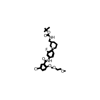 COCCOCOc1ccc(Cl)cc1C(=O)Nc1ccc(N2CCCC(CNC(=O)OC(C)(C)C)C2)c(F)c1